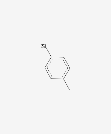 Cc1ccc([Si])cc1